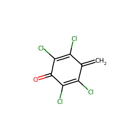 C=C1C(Cl)=C(Cl)C(=O)C(Cl)=C1Cl